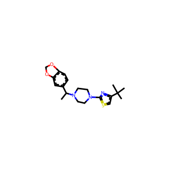 CC(c1ccc2c(c1)OCO2)N1CCN(c2nc(C(C)(C)C)cs2)CC1